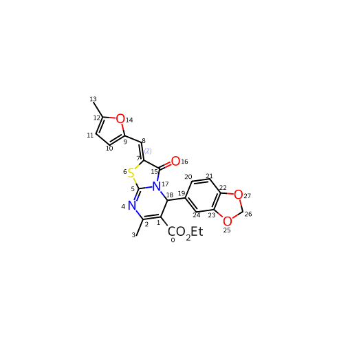 CCOC(=O)C1=C(C)N=c2s/c(=C\c3ccc(C)o3)c(=O)n2C1c1ccc2c(c1)OCO2